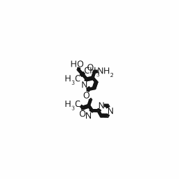 Cc1onc(-c2ccncn2)c1COc1ccc(C(N)=O)c(C(C)(C)CO)n1